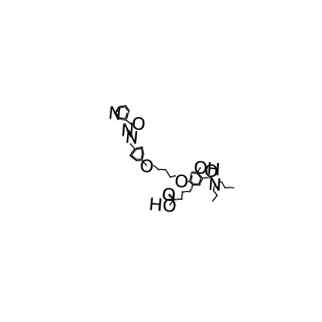 CCCN(CCC)C(=O)c1cc(CCCC(=O)O)c(OCCCCCOc2ccc(CN=NC(=O)c3cccnc3)cc2)cc1O